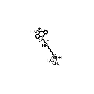 CC(C)OP(=O)(O)OCCCCCCNC(=O)CCC(=O)N1Cc2ccccc2-c2nnn(C)c2-c2ccccc21